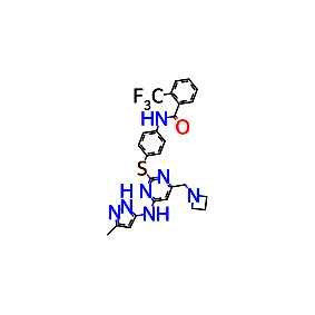 Cc1cc(Nc2cc(CN3CCC3)nc(Sc3ccc(NC(=O)c4ccccc4C(F)(F)F)cc3)n2)[nH]n1